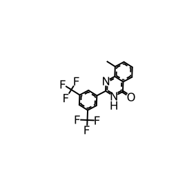 Cc1cccc2c(=O)[nH]c(-c3cc(C(F)(F)F)cc(C(F)(F)F)c3)nc12